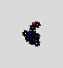 c1ccc(-c2nc(-c3ccc4oc5ccccc5c4c3)nc(-n3c4ccccc4c4ccc5c6ccccc6n(-c6ccccc6-c6nc7ccccc7s6)c5c43)n2)cc1